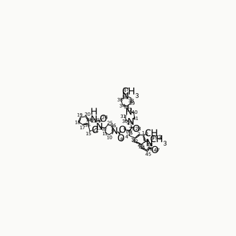 Cc1cc(C[C@@H](OC(=O)N2CCC(N3CCc4ccccc4NC3=O)CC2)C(=O)N2CCN(C3CCN(C)CC3)CC2)cc2ccc(=O)n(C)c12